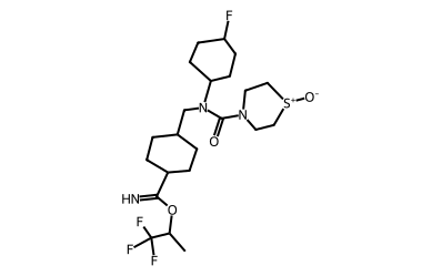 CC(OC(=N)C1CCC(CN(C(=O)N2CC[S+]([O-])CC2)C2CCC(F)CC2)CC1)C(F)(F)F